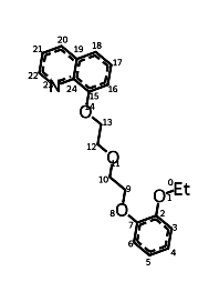 CCOc1ccccc1OCCOCCOc1cccc2cccnc12